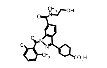 CN(CCO)C(=O)c1ccc2c(C3=CCC(C(=O)O)CC3)nn(C(=O)c3c(Cl)cccc3C(F)(F)F)c2c1